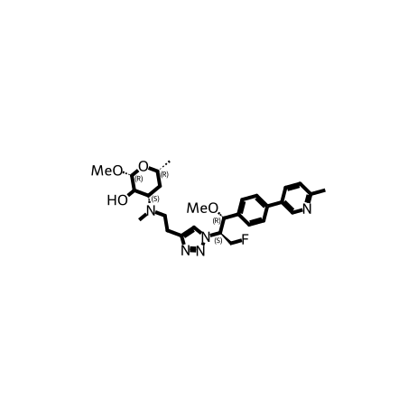 CO[C@@H]1O[C@H](C)C[C@H](N(C)CCc2cn([C@H](CF)[C@H](OC)c3ccc(-c4ccc(C)nc4)cc3)nn2)C1O